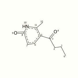 CCCC(=O)c1ccc(=O)[nH]c1C